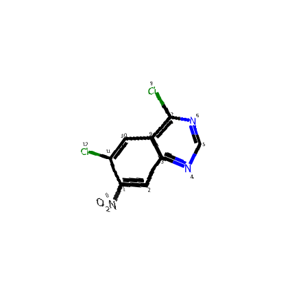 O=[N+]([O-])c1cc2ncnc(Cl)c2cc1Cl